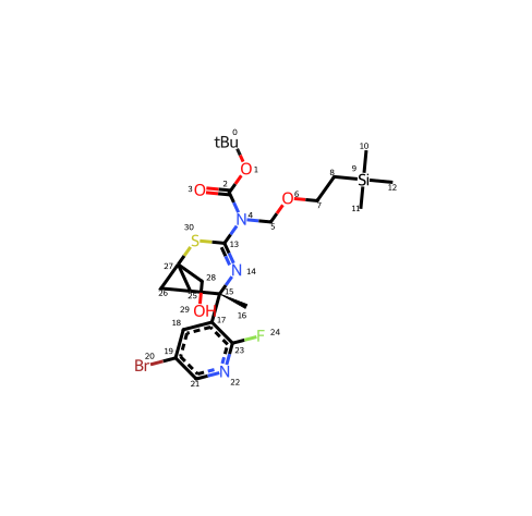 CC(C)(C)OC(=O)N(COCC[Si](C)(C)C)C1=N[C@](C)(c2cc(Br)cnc2F)C2CC2(CO)S1